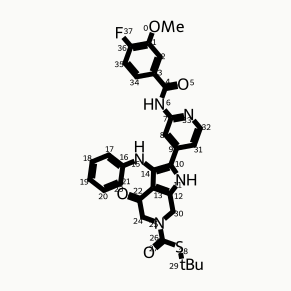 COc1cc(C(=O)Nc2cc(-c3[nH]c4c(c3Nc3ccccc3)C(=O)CN(C(=O)SC(C)(C)C)C4)ccn2)ccc1F